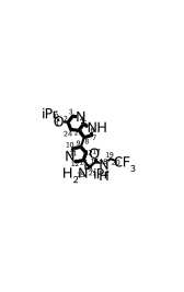 CC(C)Oc1cnc2[nH]cc(-c3cncc([C@](N)(C(=O)NCC(F)(F)F)C(C)C)c3)c2c1